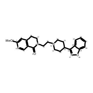 COc1cc2c(cn1)C(=O)N(CCN1CCC(c3noc4ccccc34)CC1)CC2